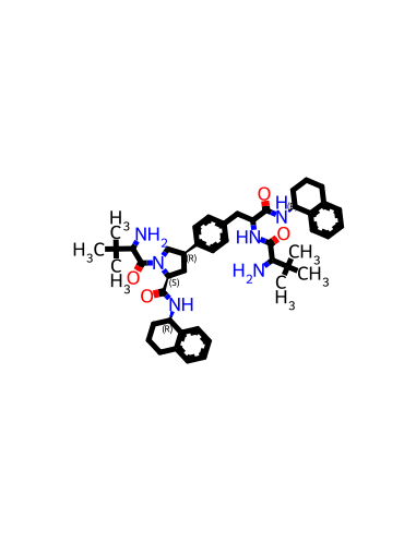 CC(C)(C)C(N)C(=O)NC(Cc1ccc([C@H]2C[C@@H](C(=O)N[C@@H]3CCCc4ccccc43)N(C(=O)C(N)C(C)(C)C)C2)cc1)C(=O)N[C@@H]1CCCc2ccccc21